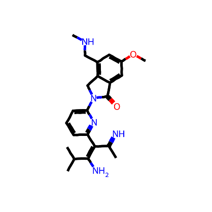 CNCc1cc(OC)cc2c1CN(c1cccc(/C(C(C)=N)=C(/N)C(C)C)n1)C2=O